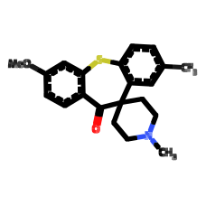 COc1ccc2c(c1)Sc1ccc(C(F)(F)F)cc1C1(CCN(C)CC1)C2=O